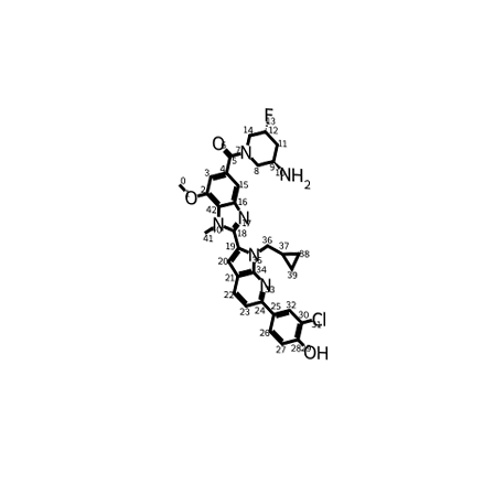 COc1cc(C(=O)N2C[C@H](N)C[C@@H](F)C2)cc2nc(-c3cc4ccc(-c5ccc(O)c(Cl)c5)nc4n3CC3CC3)n(C)c12